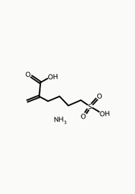 C=C(CCCCS(=O)(=O)O)C(=O)O.N